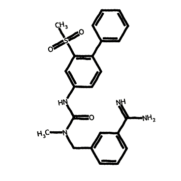 CN(Cc1cccc(C(=N)N)c1)C(=O)Nc1ccc(-c2ccccc2)c(S(C)(=O)=O)c1